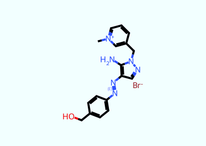 C[n+]1cccc(Cn2ncc(/N=N/c3ccc(CO)cc3)c2N)c1.[Br-]